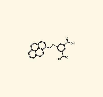 O=C(O)c1cc(OCc2ccc3ccc4cccc5ccc2c3c45)cc(C(=O)O)c1